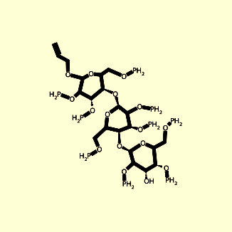 C=CCOC1OC(COP)[C@@H](O[C@@H]2OC(COP)[C@H](O[C@H]3OC(COP)[C@H](OP)[C@H](O)C3OP)[C@H](OP)C2OP)[C@H](OP)C1OP